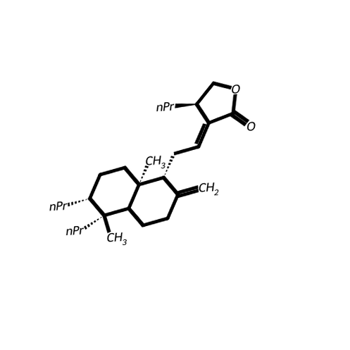 C=C1CCC2[C@](C)(CCC)[C@H](CCC)CC[C@@]2(C)[C@@H]1C/C=C1/C(=O)OC[C@@H]1CCC